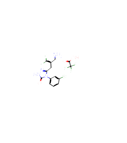 NCC(Cc1n[nH]c(=O)n1-c1cccc(Br)c1)=C(F)F.O=C(O)C(F)(F)F